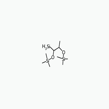 CC(O[Si](C)(C)C)[C]([SiH3])O[Si](C)(C)C